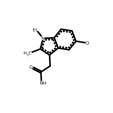 CCn1c(C)c(CC([NH])=O)c2cc(Cl)ccc21